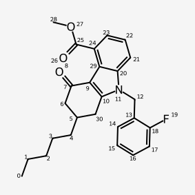 CCCCCC1CC(=O)c2c(n(Cc3ccccc3F)c3cccc(C(=O)OC)c23)C1